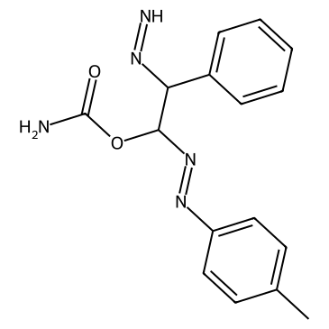 Cc1ccc(N=NC(OC(N)=O)C(N=N)c2ccccc2)cc1